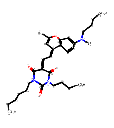 CCN(CCCS(=O)(=O)O)c1ccc2c(c1)OC(C(C)(C)C)=CC2=CC=C1C(=O)N(CCCCCC(=O)O)C(=O)N(CCCS(=O)(=O)O)C1=O